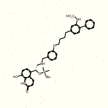 CC(C)(C)[Si](C)(C)O[C@@H](CNCc1cccc(OCCCCc2ccc(-c3ccccc3)c(NC(=O)O)c2)c1)c1ccc(O)c2[nH]c(=O)ccc12